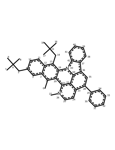 Cc1c2cc(CC(C)(C)C)ccc2c(CC(C)(C)C)c2c1c1c3c(cc[n+]1C)c(-c1ccccc1)cc1c4ccccc4n2c13